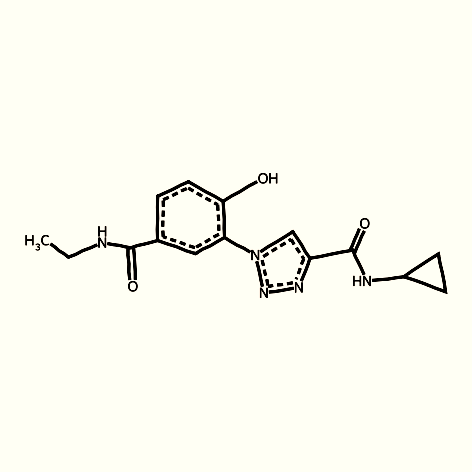 CCNC(=O)c1ccc(O)c(-n2cc(C(=O)NC3CC3)nn2)c1